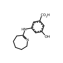 O=C(O)c1cc(O)cc(NC2=NCCCCC2)c1